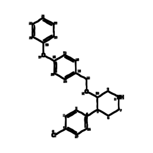 Clc1ccc(C2CCNCC2OCc2ccc(Oc3ccccc3)cc2)cc1